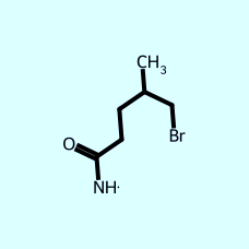 CC(CBr)CCC([NH])=O